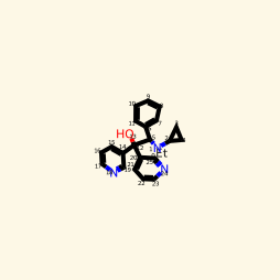 CCN(C1CC1)C(c1ccccc1)C(O)(c1cccnc1)c1cccnc1